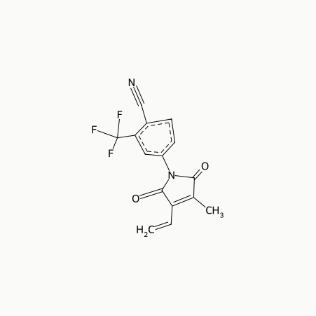 C=CC1=C(C)C(=O)N(c2ccc(C#N)c(C(F)(F)F)c2)C1=O